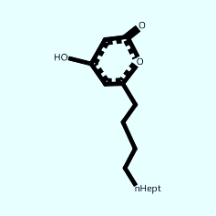 CCCCCCCCCCCc1cc(O)cc(=O)o1